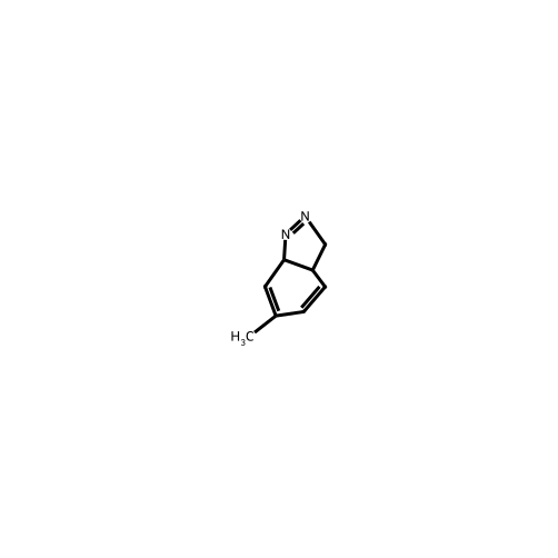 CC1=CC2N=NCC2C=C1